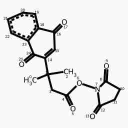 CC(C)(CC(=O)ON1C(=O)CCC1=O)C1=CC(=O)c2ccccc2C1=O